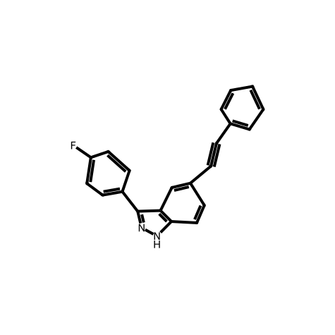 Fc1ccc(-c2n[nH]c3ccc(C#Cc4ccccc4)cc23)cc1